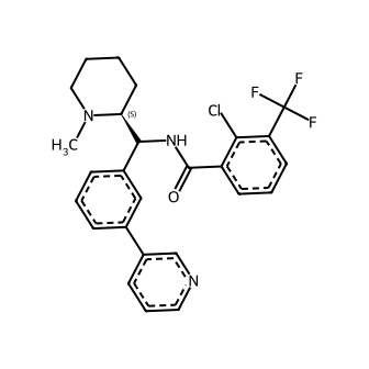 CN1CCCC[C@H]1C(NC(=O)c1cccc(C(F)(F)F)c1Cl)c1cccc(-c2cccnc2)c1